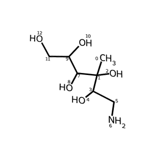 CC(O)(C(O)CN)C(O)C(O)CO